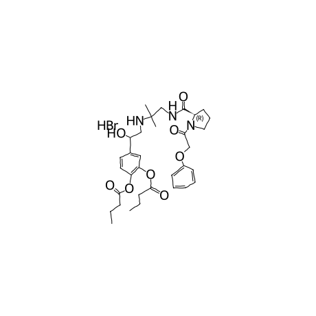 Br.CCCC(=O)Oc1ccc(C(O)CNC(C)(C)CNC(=O)[C@H]2CCCN2C(=O)COc2ccccc2)cc1OC(=O)CCC